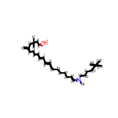 C=C(CCCCCCCCCCCCCCCN(C)CCCCC(C)(C)C)CC(C)(C)CCO